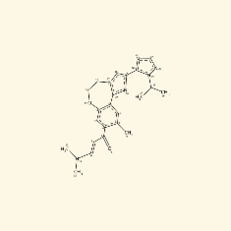 Cc1cc2c(cc1C(=O)/C=C/N(C)C)OCCn1cc(-c3ncnn3C(C)C)nc1-2